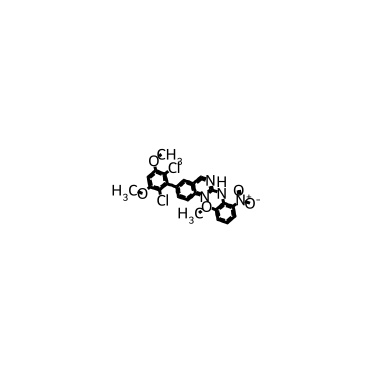 COc1cc(OC)c(Cl)c(-c2ccc3nc(Nc4c(OC)cccc4[N+](=O)[O-])ncc3c2)c1Cl